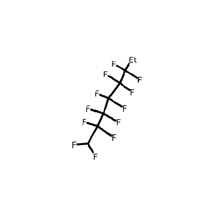 CCC(F)(F)C(F)(F)C(F)(F)C(F)(F)C(F)(F)C(F)F